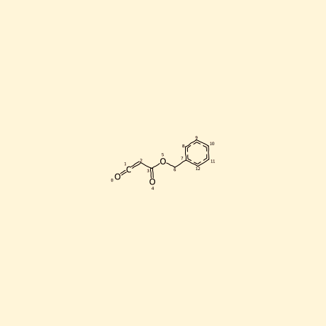 O=C=CC(=O)OCc1ccccc1